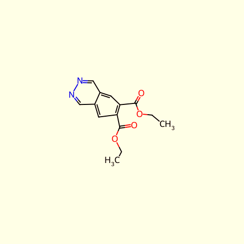 CCOC(=O)c1cc2cnncc2cc1C(=O)OCC